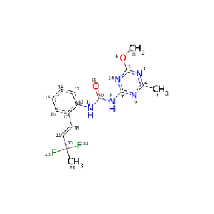 COc1nc(C)nc(NC(=O)Nc2ccccc2C=CC(C)(F)F)n1